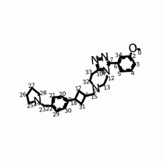 COc1cccc(-c2nnc3n2CCN(CC2CC(c4ccc(CN5CCCC5)cc4)C2)CC3)c1